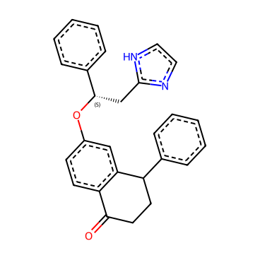 O=C1CCC(c2ccccc2)c2cc(O[C@@H](Cc3ncc[nH]3)c3ccccc3)ccc21